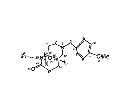 COc1ccc(CN2CC[C@]34OC[C@H](C(C)C)N3C(=O)CC[C@@H]4C2)cc1